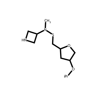 CC(C)OC1COC(CSN(C)C2CNC2)C1